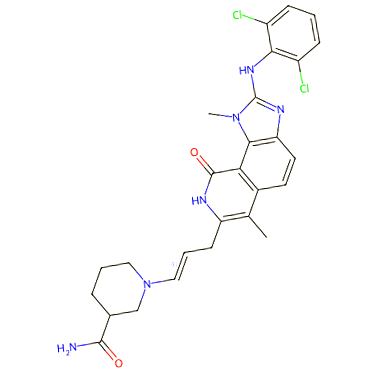 Cc1c(C/C=C/N2CCCC(C(N)=O)C2)[nH]c(=O)c2c1ccc1nc(Nc3c(Cl)cccc3Cl)n(C)c12